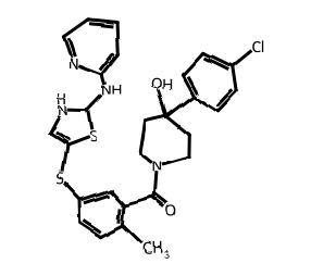 Cc1ccc(SC2=CNC(Nc3ccccn3)S2)cc1C(=O)N1CCC(O)(c2ccc(Cl)cc2)CC1